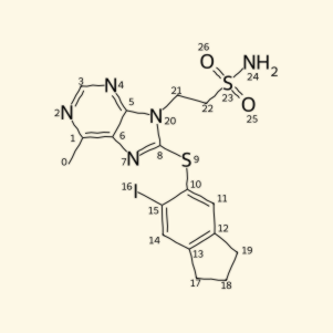 Cc1ncnc2c1nc(Sc1cc3c(cc1I)CCC3)n2CCS(N)(=O)=O